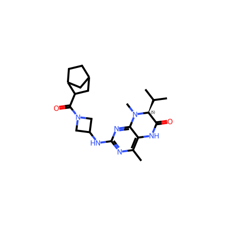 Cc1nc(NC2CN(C(=O)C3CC4CCC3C4)C2)nc2c1NC(=O)[C@H](C(C)C)N2C